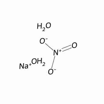 O.O.O=[N+]([O-])[O-].[Na+]